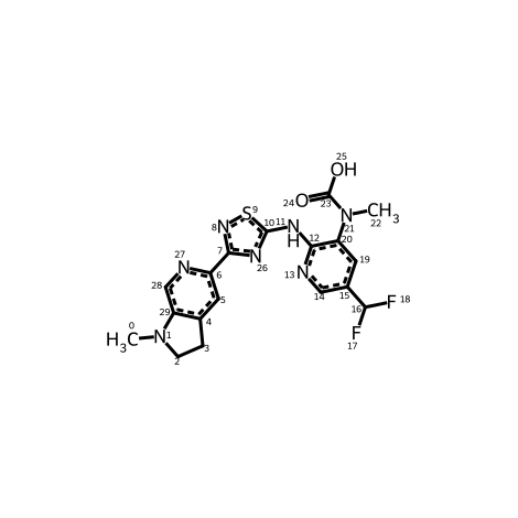 CN1CCc2cc(-c3nsc(Nc4ncc(C(F)F)cc4N(C)C(=O)O)n3)ncc21